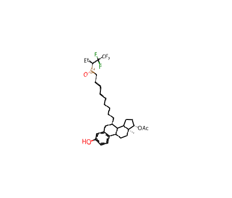 CCC([S+]([O-])CCCCCCCCC[C@@H]1Cc2cc(O)ccc2C2CC[C@@]3(C)C(CC[C@@H]3OC(C)=O)C21)C(F)(F)C(F)(F)F